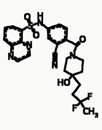 CC(F)(F)CCC1(O)CCN(C(=O)c2ccc(NS(=O)(=O)c3cccc4nccnc34)cc2C#N)CC1